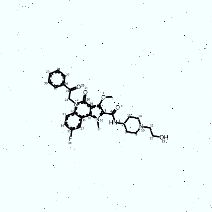 COc1c(C(=O)NC2CCN(CCO)CC2)n(C)c2c1c(=O)n(CC(=O)c1ccccc1)c1ccc(F)cc21